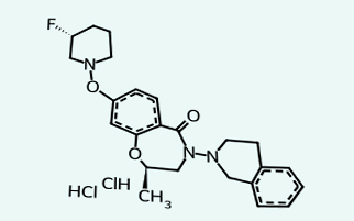 C[C@@H]1CN(N2CCc3ccccc3C2)C(=O)c2ccc(ON3CCC[C@@H](F)C3)cc2O1.Cl.Cl